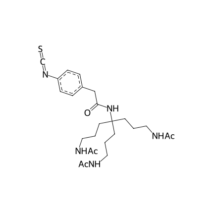 CC(=O)NCCCC(CCCNC(C)=O)(CCCNC(C)=O)NC(=O)Cc1ccc(N=C=S)cc1